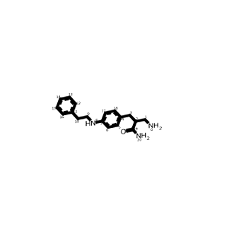 NCC(Cc1ccc(NCCc2ccccc2)cc1)C(N)=O